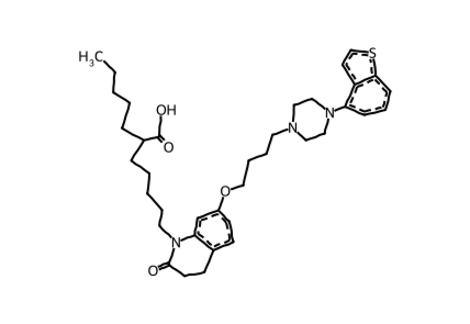 CCCCCC(CCCCCN1C(=O)CCc2ccc(OCCCCN3CCN(c4cccc5sccc45)CC3)cc21)C(=O)O